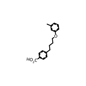 Cc1cccc(OCCCCc2ccc(C(=O)O)cc2)c1